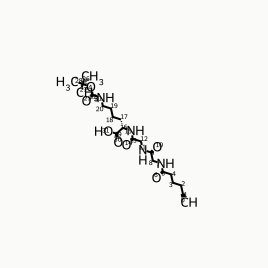 C#CCCCC(=O)NCC(=O)NCC(=O)N[C@@H](CCCCNC(=O)OC(C)(C)C)C(=O)O